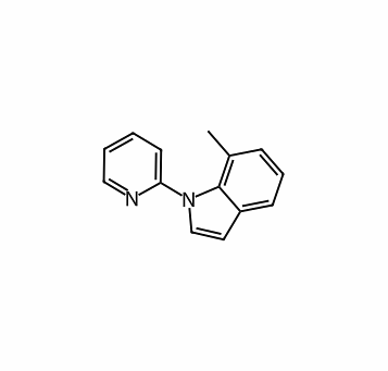 Cc1cccc2ccn(-c3ccccn3)c12